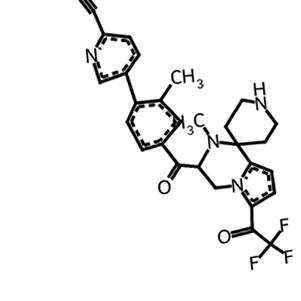 Cc1cc(C(=O)C2Cn3c(C(=O)C(F)(F)F)ccc3C3(CCNCC3)N2C)ccc1-c1ccc(C#N)nc1